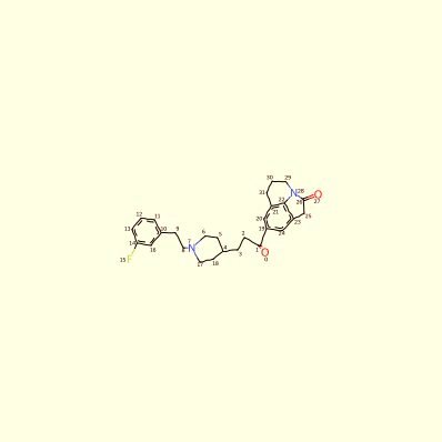 O=C(CCC1CCN(CCc2cccc(F)c2)CC1)c1cc2c3c(c1)CC(=O)N3CCC2